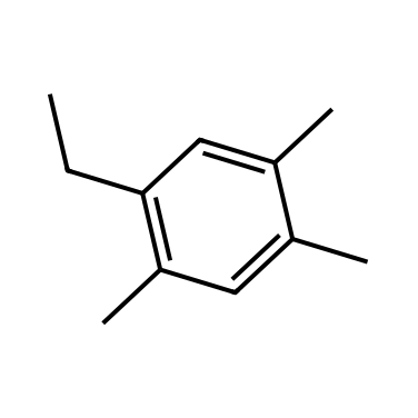 CCc1cc(C)c(C)cc1C